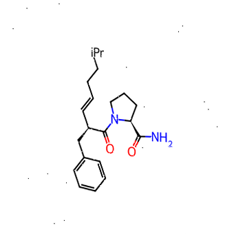 CC(C)CC/C=C/[C@H](Cc1ccccc1)C(=O)N1CCC[C@H]1C(N)=O